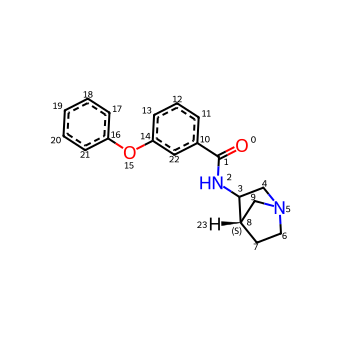 O=C(NC1CN2CC[C@H]1C2)c1cccc(Oc2ccccc2)c1